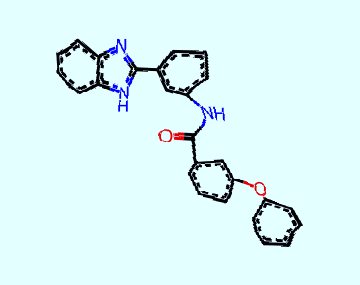 O=C(Nc1cccc(-c2nc3ccccc3[nH]2)c1)c1cccc(Oc2ccccc2)c1